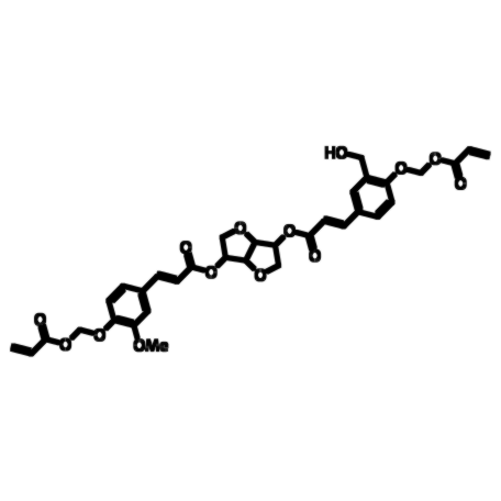 C=CC(=O)OCOc1ccc(/C=C/C(=O)OC2COC3C(OC(=O)/C=C/c4ccc(OCOC(=O)C=C)c(OC)c4)COC23)cc1CO